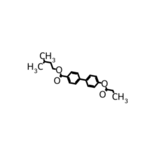 CCC(=O)Oc1ccc(-c2ccc(C(=O)OCCC(C)C)cc2)cc1